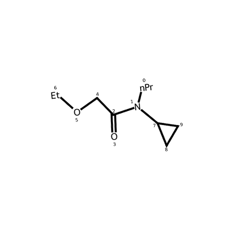 CCCN(C(=O)COCC)C1CC1